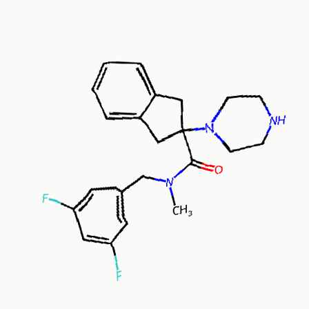 CN(Cc1cc(F)cc(F)c1)C(=O)C1(N2CCNCC2)Cc2ccccc2C1